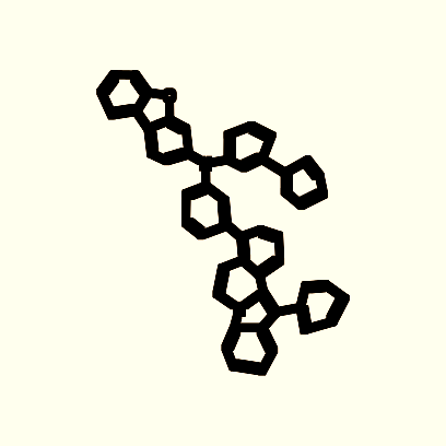 c1ccc(-c2cccc(N(c3cccc(-c4cccc5c4ccn4c6ccccc6c(-c6ccccc6)c54)c3)c3ccc4c(c3)oc3ccccc34)c2)cc1